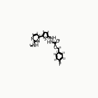 CNc1nccc(-c2ccc(NNC(=O)OCc3ccc(F)cc3)s2)n1